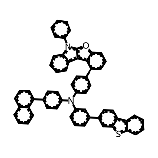 c1ccc(-n2c3ccccc3c3c4c(-c5ccc(N(c6ccc(-c7cccc8ccccc78)cc6)c6cccc(-c7ccc8c(c7)sc7ccccc78)c6)cc5)cccc4oc32)cc1